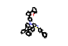 c1ccc(-c2ccc(-c3nc4ccc(N(c5ccc(-c6cccc7c6oc6ccccc67)cc5)c5ccc6c(c5)C(c5ccccc5)(c5ccccc5)c5ccccc5-6)cc4s3)cc2)cc1